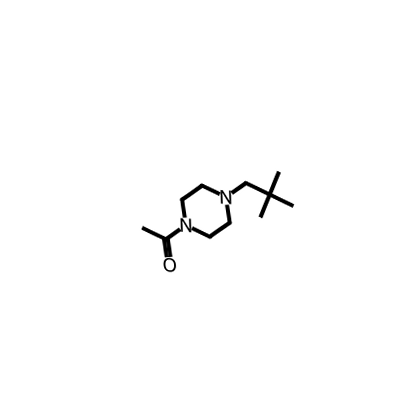 CC(=O)N1CCN(CC(C)(C)C)CC1